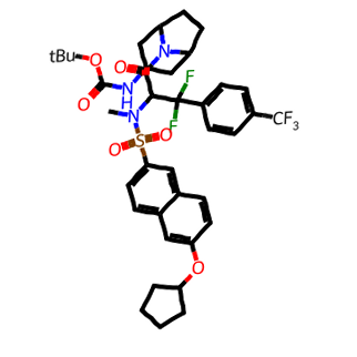 CN(C(C(=O)N1C2CCC1CC(NC(=O)OC(C)(C)C)C2)C(F)(F)c1ccc(C(F)(F)F)cc1)S(=O)(=O)c1ccc2cc(OC3CCCC3)ccc2c1